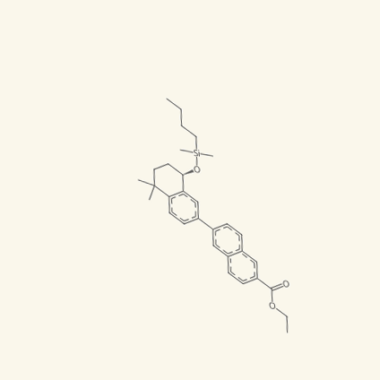 CCCC[Si](C)(C)O[C@@H]1CCC(C)(C)c2ccc(-c3ccc4cc(C(=O)OCC)ccc4c3)cc21